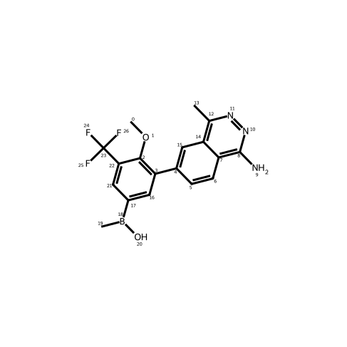 COc1c(-c2ccc3c(N)nnc(C)c3c2)cc(B(C)O)cc1C(F)(F)F